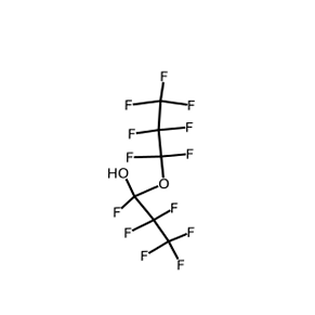 OC(F)(OC(F)(F)C(F)(F)C(F)(F)F)C(F)(F)C(F)(F)F